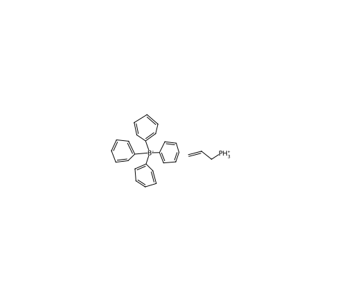 C=CC[PH3+].c1ccc([B-](c2ccccc2)(c2ccccc2)c2ccccc2)cc1